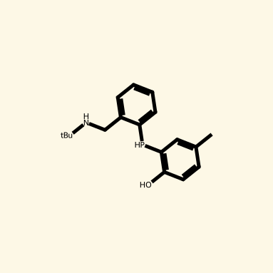 Cc1ccc(O)c(Pc2ccccc2CNC(C)(C)C)c1